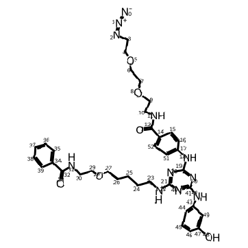 [N-]=[N+]=NCCOCCOCCNC(=O)c1ccc(Nc2nc(NCCCCCOCCNC(=O)c3ccccc3)nc(Nc3cccc(O)c3)n2)cc1